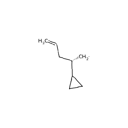 [CH2][C@@H](CC=C)C1CC1